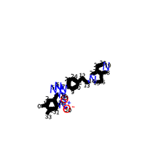 Cc1cc(-c2nnn(-c3ccc(CCN4CCc5cnccc5C4)cc3)n2)c([N+](=O)[O-])cc1C